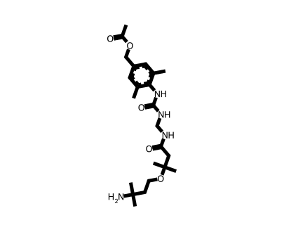 CC(=O)OCc1cc(C)c(NC(=O)NCNC(=O)CC(C)(C)OCCC(C)(C)N)c(C)c1